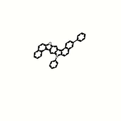 c1ccc(-c2ccc3c(ccc4c3c3cc5oc6ccc7ccccc7c6c5cc3n4-c3ccccc3)c2)cc1